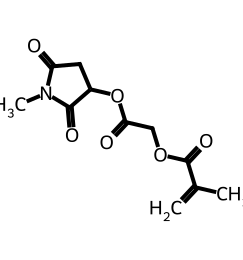 C=C(C)C(=O)OCC(=O)OC1CC(=O)N(C)C1=O